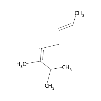 CC=CC[C]=C(C)C(C)C